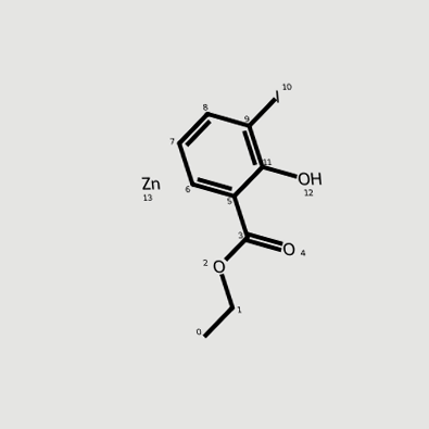 CCOC(=O)c1cccc(I)c1O.[Zn]